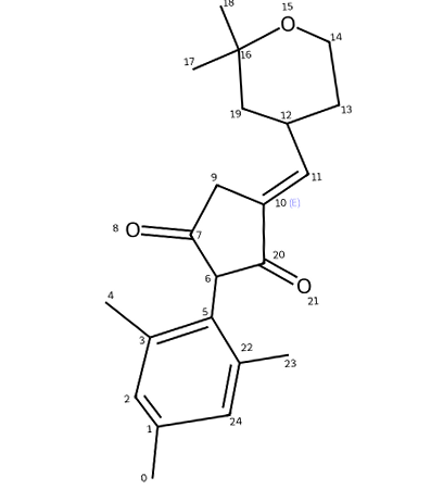 Cc1cc(C)c(C2C(=O)C/C(=C\C3CCOC(C)(C)C3)C2=O)c(C)c1